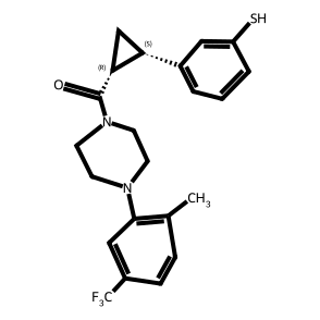 Cc1ccc(C(F)(F)F)cc1N1CCN(C(=O)[C@@H]2C[C@@H]2c2cccc(S)c2)CC1